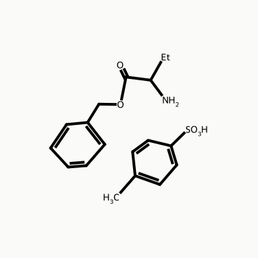 CCC(N)C(=O)OCc1ccccc1.Cc1ccc(S(=O)(=O)O)cc1